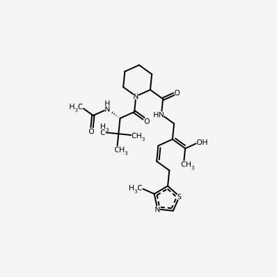 CC(=O)N[C@H](C(=O)N1CCCCC1C(=O)NCC(/C=C\Cc1scnc1C)=C(/C)O)C(C)(C)C